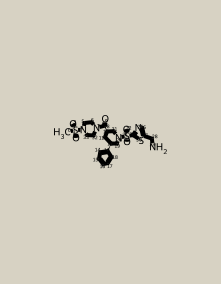 CS(=O)(=O)N1CCN(C(=O)[C@H]2C[C@@H](c3ccccc3)CN(S(=O)(=O)c3ncc(CN)s3)C2)CC1